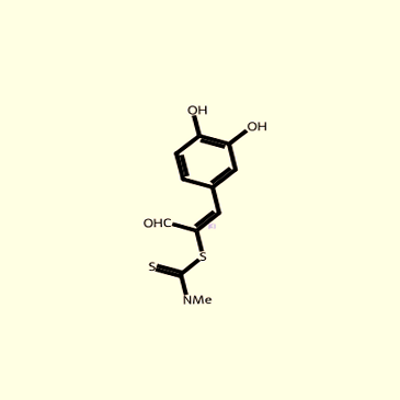 CNC(=S)S/C(C=O)=C/c1ccc(O)c(O)c1